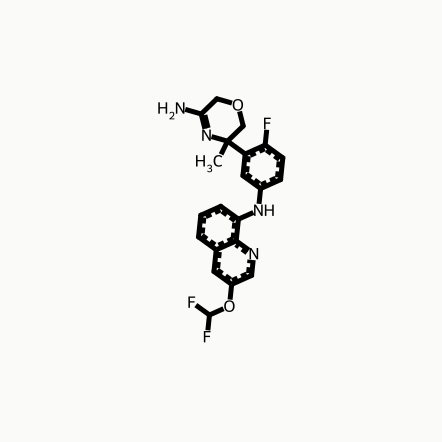 CC1(c2cc(Nc3cccc4cc(OC(F)F)cnc34)ccc2F)COCC(N)=N1